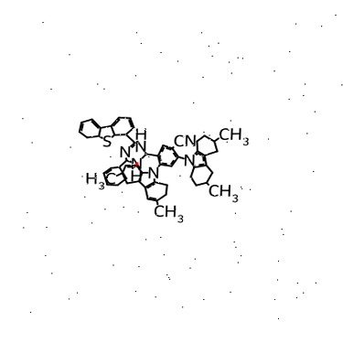 CC1=CC2=C(CC1)N(c1cc(-n3c4c(c5c3CCC(C)C5)CC(C)CC4)c(C#N)cc1C1NC(C3C=CC=C4C5=CC=CCC5SC43)=NC(C3C=CCCC3)N1)C1C=CC(C)CC21